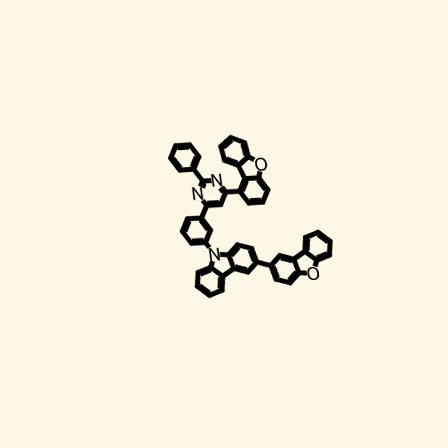 c1ccc(-c2nc(-c3cccc(-n4c5ccccc5c5cc(-c6ccc7oc8ccccc8c7c6)ccc54)c3)cc(-c3cccc4oc5ccccc5c34)n2)cc1